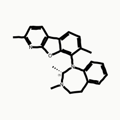 Cc1ccc2c(n1)oc1c(N3c4ccccc4CCN(C)[C@@H]3C)c(C)ccc12